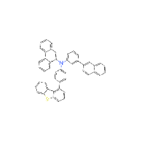 c1cc(-c2ccc3ccccc3c2)cc(N(c2ccc(-c3cccc4sc5ccccc5c34)cc2)c2cc3ccccc3c3ccccc23)c1